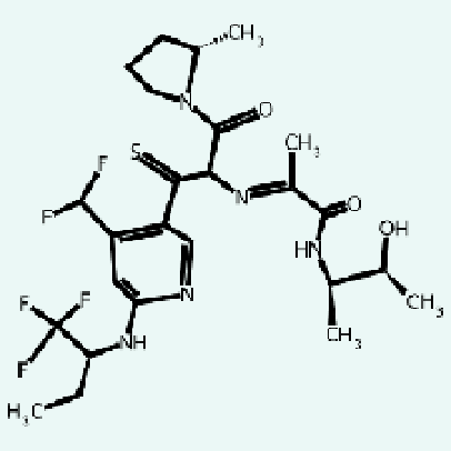 CC[C@H](Nc1cc(C(F)F)c(C(=S)C(/N=C(\C)C(=O)N[C@H](C)[C@H](C)O)C(=O)N2CCC[C@@H]2C)cn1)C(F)(F)F